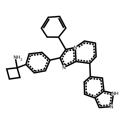 NC1(c2ccc(-c3nc4c(-c5ccc6cn[nH]c6c5)cccn4c3C3C=CC=CC3)cc2)CCC1